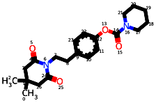 CC1(C)CC(=O)N(CCc2ccc(OC(=O)N3CCCCC3)cc2)C(=O)C1